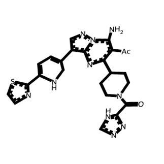 CC(=O)c1c(C2CCN(C(=O)c3nnc[nH]3)CC2)nc2c(C3=CC=C(c4nccs4)NC3)cnn2c1N